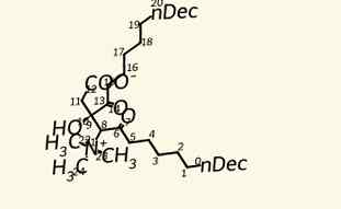 CCCCCCCCCCCCCCCC(=O)C([C@](O)(CC(=O)[O-])C(=O)CCCCCCCCCCCCCCC)[N+](C)(C)C